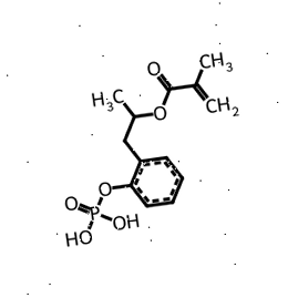 C=C(C)C(=O)OC(C)Cc1ccccc1OP(=O)(O)O